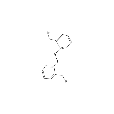 BrCc1ccccc1SSc1ccccc1CBr